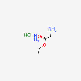 CCOC(=O)CN.Cl.N